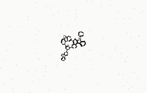 C1=Cc2oc3ccc(-c4ccc5c6ccccc6n(-c6ccccc6)c5c4)cc3c2C(c2cc(-c3ccc4c(c3)oc3ccccc34)cc(-c3ccccc3)n2)C1